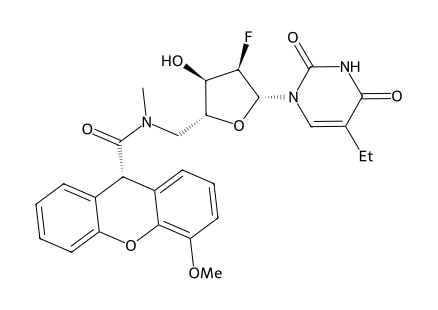 CCc1cn([C@@H]2O[C@H](CN(C)C(=O)[C@H]3c4ccccc4Oc4c(OC)cccc43)[C@@H](O)[C@H]2F)c(=O)[nH]c1=O